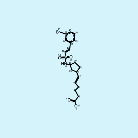 O=C(O)CCCC=CC1CCC(NS(=O)(=O)C=Cc2cccc(Br)c2)C1